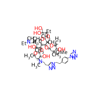 CC[C@@H](OC(=O)[C@H](C)[C@@H](O[C@H]1C[C@@](C)(OC)[C@@H](O)[C@H](C)O1)[C@H](C)[C@@H](O[C@@H]1O[C@H](C)C[C@H](N(C)CCc2cn(CCc3ccc(-n4cnnn4)cc3)nn2)[C@H]1O)[C@](C)(O)C[C@@H](C)CN(C)CC)[C@@](C)(O)CO